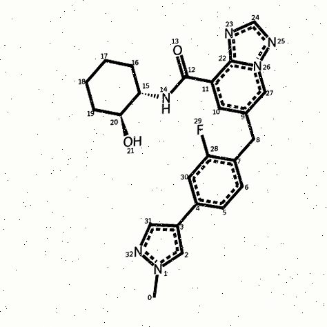 Cn1cc(-c2ccc(Cc3cc(C(=O)N[C@H]4CCCC[C@@H]4O)c4ncnn4c3)c(F)c2)cn1